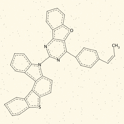 C/C=C\c1ccc(-c2nc(-n3c4ccccc4c4c5c(ccc43)sc3ccccc35)nc3c2oc2ccccc23)cc1